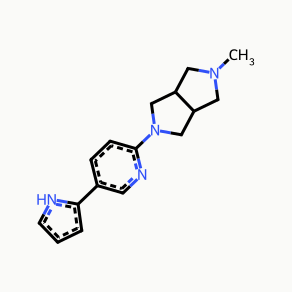 CN1CC2CN(c3ccc(-c4ccc[nH]4)cn3)CC2C1